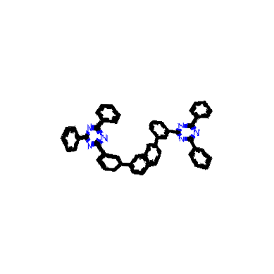 C1=CC(c2nc(-c3ccccc3)nc(-c3ccccc3)n2)=CC(c2ccc3ccc(-c4cccc(-c5nc(-c6ccccc6)nc(-c6ccccc6)n5)c4)cc3c2)C1